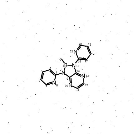 CB1N(c2ccccn2)c2nccnc2N1c1ccccn1